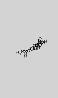 C[C@]12CCC(OCC(O)CN)CC1CC[C@@H]1[C@H]2CC[C@]2(C)C(O)(c3ccoc3)CC[C@@]12O